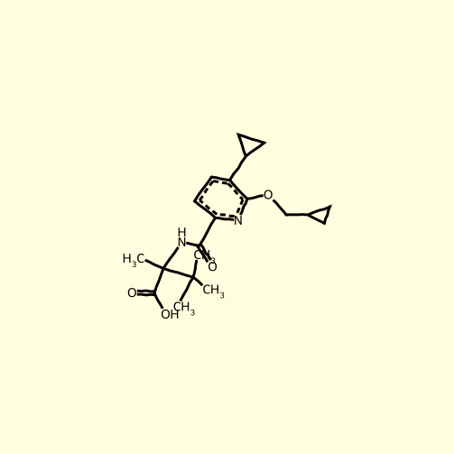 CC(C)(C)C(C)(NC(=O)c1ccc(C2CC2)c(OCC2CC2)n1)C(=O)O